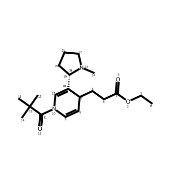 CCOC(=O)CCC1C=CN(C(=O)C(C)(C)C)C=C1[C@@H]1CCCN1C